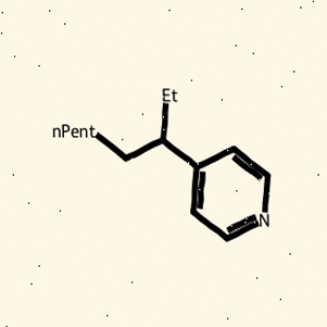 CCCCCCC(CC)c1ccncc1